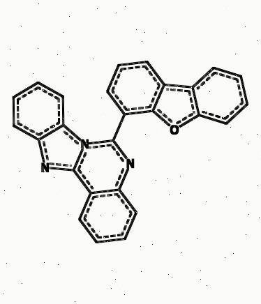 c1ccc2c(c1)nc(-c1cccc3c1oc1ccccc13)n1c3ccccc3nc21